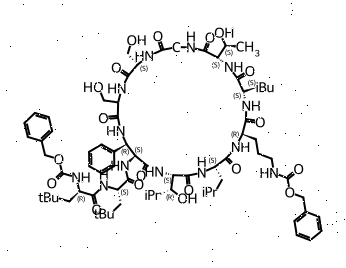 CC[C@H](C)[C@@H]1NC(=O)[C@@H](CCCNC(=O)OCc2ccccc2)NC(=O)[C@H](CC(C)C)NC(=O)[C@H]([C@H](O)C(C)C)NC(=O)[C@@H](NC(=O)[C@H](CC(C)(C)C)NC(=O)[C@@H](CC(C)(C)C)NC(=O)OCc2ccccc2)[C@@H](c2ccccc2)NC(=O)C(CO)NC(=O)[C@H](CO)NC(=O)CNC(=O)[C@H]([C@H](C)O)NC1=O